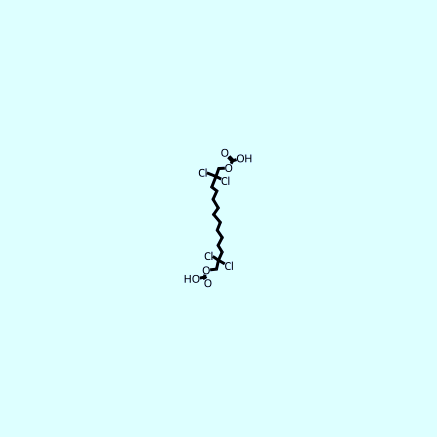 O=C(O)OCC(Cl)(Cl)CCCCCCCCCCC(Cl)(Cl)COC(=O)O